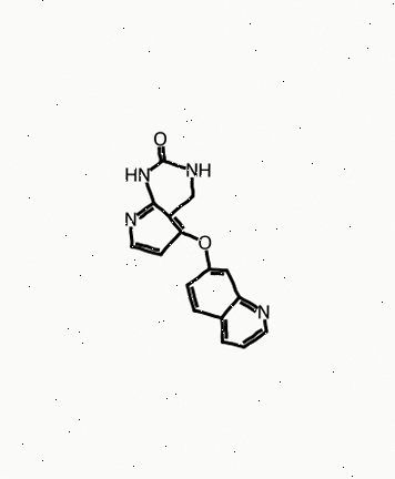 O=C1NCc2c(Oc3ccc4cccnc4c3)ccnc2N1